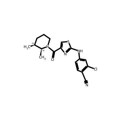 C[C@H]1CCCN(C(=O)c2csc(Nc3ccc(C#N)c(Cl)c3)n2)[C@H]1C